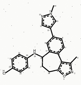 Cc1noc2c1-c1ccc(-c3cnn(C)c3)cc1C(Nc1ccc(Cl)cc1)CC2